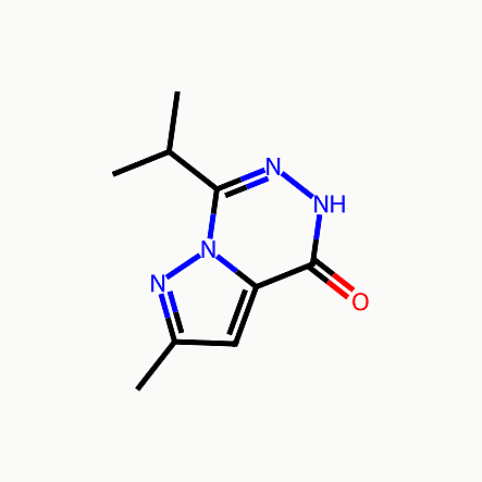 Cc1cc2c(=O)[nH]nc(C(C)C)n2n1